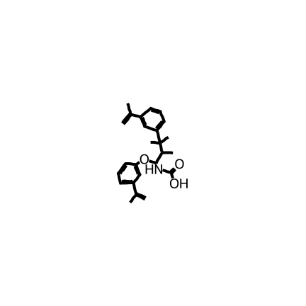 C=C(C)c1cccc(OC(NC(=O)O)C(C)C(C)(C)c2cccc(C(=C)C)c2)c1